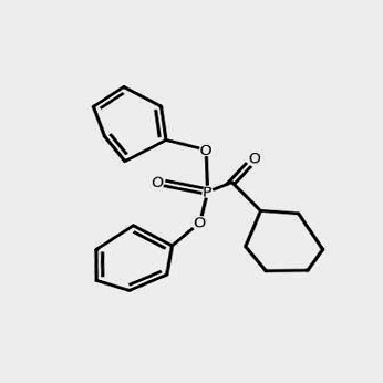 O=C(C1CCCCC1)P(=O)(Oc1ccccc1)Oc1ccccc1